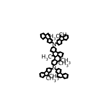 Cc1c2c3c(cccc3c3cc(N(c4ccc5c(c4)C(C)(C)c4ccccc4-5)c4ccc5c(ccc6ccccc65)c4)ccc13)C(C)(C)c1cc(N(c3ccc4c(c3)C(C)(C)c3ccccc3-4)c3ccc4c(ccc5ccccc54)c3)ccc1-2